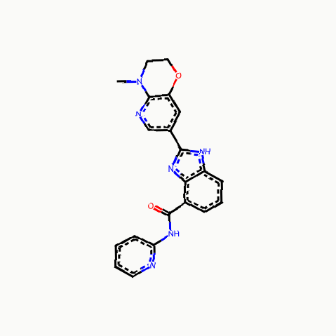 CN1CCOc2cc(-c3nc4c(C(=O)Nc5ccccn5)cccc4[nH]3)cnc21